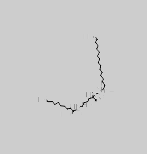 CCCCCCCCCCCCCCCCC(C)NC(=O)NC(CCCCNC(=O)C(C)CCCCCCCCC)C(C)=O